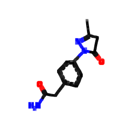 CC1=NN(c2ccc(CC(N)=O)cc2)C(=O)C1